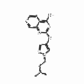 CC(C)CCn1cc(Oc2nc(O)c3ccncc3n2)cn1